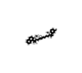 C[N+]1=C(/C=C/C=C/C=C/C=C2\N(CC(=O)O)c3ccc4ccccc4c3C2(C)C)C(C)(C)c2cc(I)ccc21